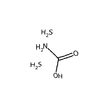 NC(=O)O.S.S